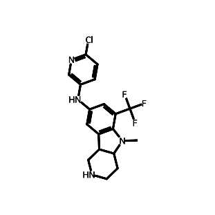 CN1c2c(cc(Nc3ccc(Cl)nc3)cc2C(F)(F)F)C2CNCCC21